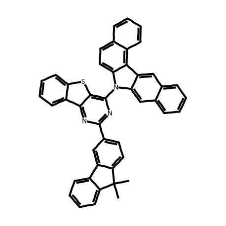 CC1(C)c2ccccc2-c2cc(-c3nc(-n4c5cc6ccccc6cc5c5c6ccccc6ccc54)c4sc5ccccc5c4n3)ccc21